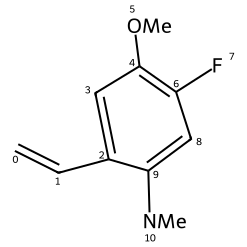 C=Cc1cc(OC)c(F)cc1NC